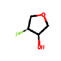 O[C@@H]1COC[C@H]1F